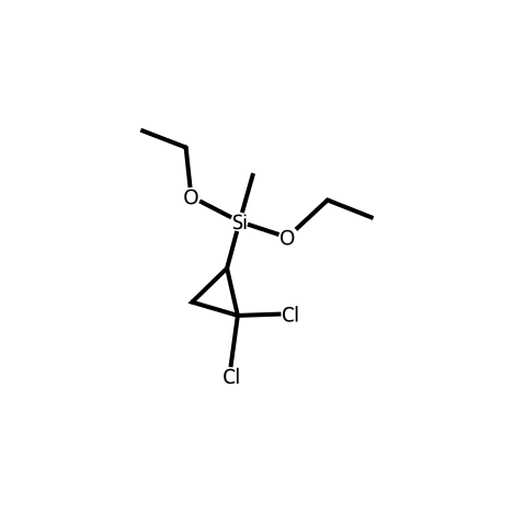 CCO[Si](C)(OCC)C1CC1(Cl)Cl